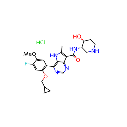 COc1cc(-c2ncnc3c(C(=O)N[C@H]4CNCC[C@@H]4O)c(C)[nH]c23)c(OCC2CC2)cc1F.Cl